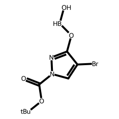 CC(C)(C)OC(=O)n1cc(Br)c(OBO)n1